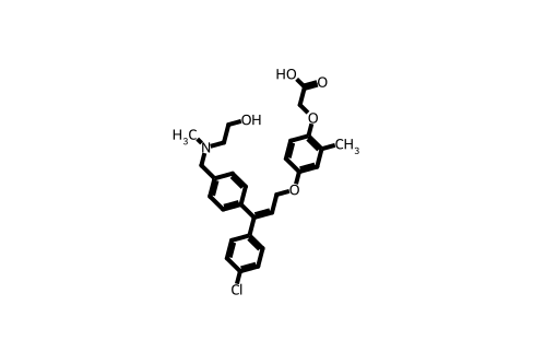 Cc1cc(OC/C=C(/c2ccc(Cl)cc2)c2ccc(CN(C)CCO)cc2)ccc1OCC(=O)O